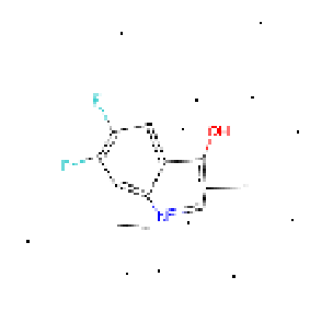 CC.Cc1cnc2cc(F)c(F)cc2c1O